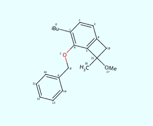 CCC(C)c1ccc2c(c1OCc1ccccc1)C(C)(OC)C2